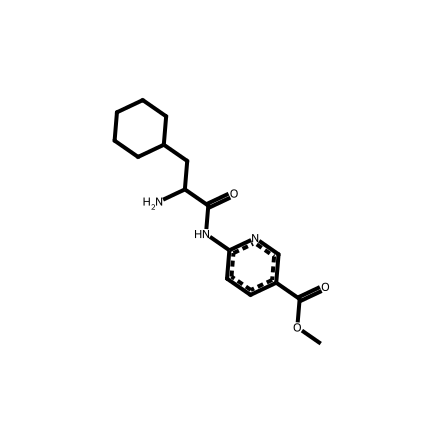 COC(=O)c1ccc(NC(=O)C(N)CC2CCCCC2)nc1